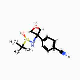 CC(C)(C)[S+]([O-])NC1(c2ccc(C#N)cc2)COC1